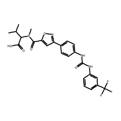 CC(C)C(C(=O)O)N(C)C(=O)c1cc(-c2ccc(NC(=O)Nc3cccc(C(F)(F)F)c3)cc2)no1